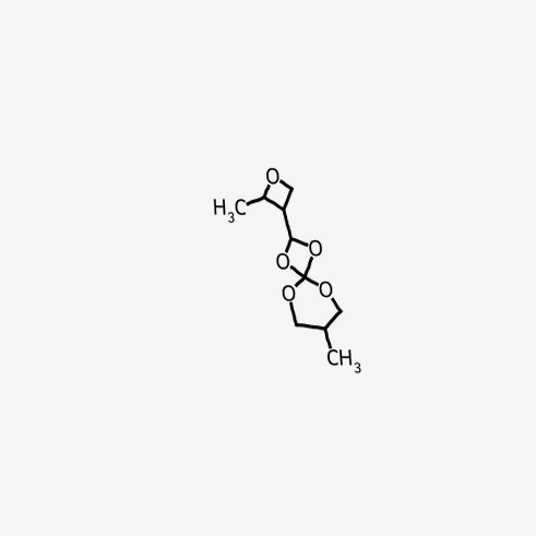 CC1COC2(OC1)OC(C1COC1C)O2